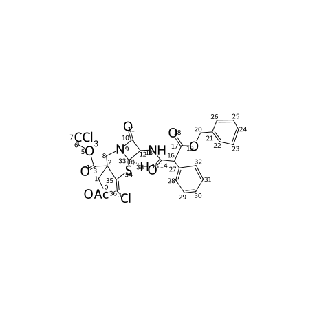 CC(=O)OCC1(C(=O)OCC(Cl)(Cl)Cl)CN2C(=O)C(NC(=O)C(C(=O)OCc3ccccc3)c3ccccc3)[C@H]2SC1=CCl